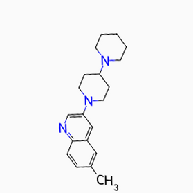 Cc1ccc2ncc(N3CCC(N4CCCCC4)CC3)cc2c1